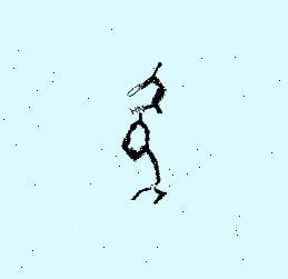 CCN(CC)Cc1cccc(N/C(C)=C\C(C)=O)c1